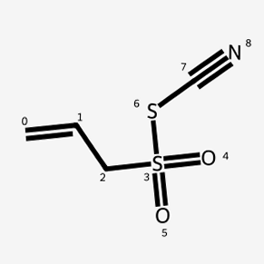 C=CCS(=O)(=O)SC#N